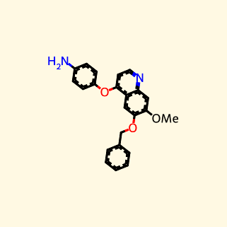 COc1cc2nccc(Oc3ccc(N)cc3)c2cc1OCc1ccccc1